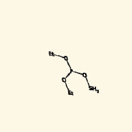 CCOP(O[SiH3])OCC